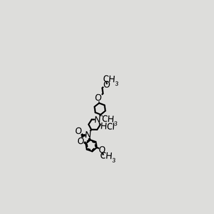 COCCO[C@H]1CC[C@](C)(N2CCC(n3c(=O)oc4ccc(OC)cc43)CC2)CC1.Cl